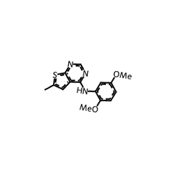 COc1ccc(OC)c(Nc2ncnc3sc(C)cc23)c1